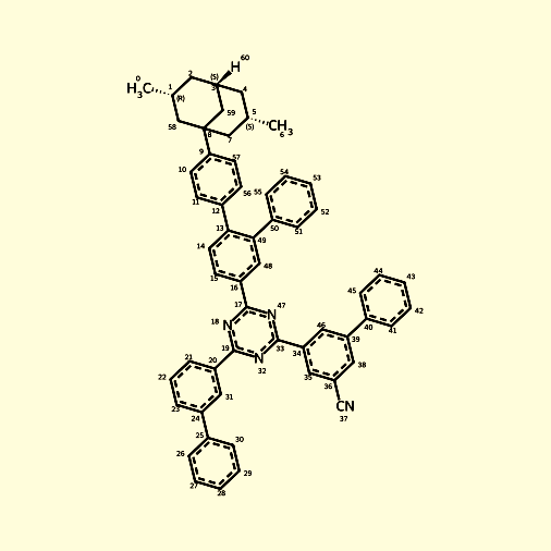 C[C@@H]1C[C@@H]2C[C@H](C)CC(c3ccc(-c4ccc(-c5nc(-c6cccc(-c7ccccc7)c6)nc(-c6cc(C#N)cc(-c7ccccc7)c6)n5)cc4-c4ccccc4)cc3)(C1)C2